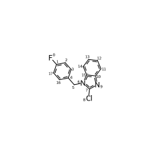 Fc1ccc(Cn2c(Cl)nc3ccccc32)cc1